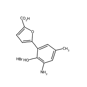 Br.Cc1cc(N)c(O)c(-c2ccc(C(=O)O)o2)c1